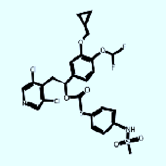 CS(=O)(=O)Nc1ccc(SC(=O)O[C@@H](Cc2c(Cl)cncc2Cl)c2ccc(OC(F)F)c(OCC3CC3)c2)cc1